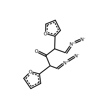 [N-]=[N+]=CC(C(=O)C(C=[N+]=[N-])c1ccco1)c1ccco1